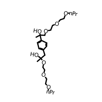 CCCOCCOCCOCC(C)(O)c1ccc(CC(C)(O)OCCOCCOCCC)cc1